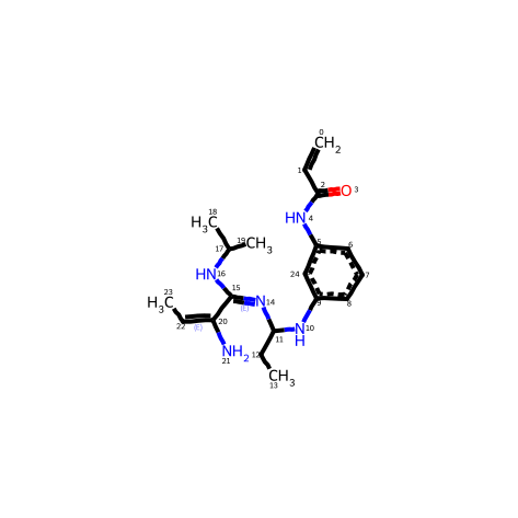 C=CC(=O)Nc1cccc(NC(CC)/N=C(NC(C)C)\C(N)=C/C)c1